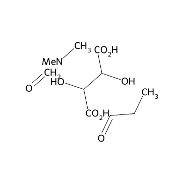 C=O.CCC=O.CNC.O=C(O)C(O)C(O)C(=O)O